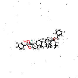 CC1(C)C[C@@H]2C3=CC[C@@H]4[C@@]5(C)CC[C@H](OCc6ccccc6)[C@@](C)(CO)C5CC[C@@]4(C)[C@]3(C)CC[C@@]2(C)[C@H](OCc2ccccc2)C1